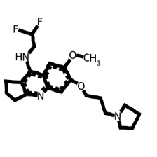 COc1cc2c(NCC(F)F)c3c(nc2cc1OCCCN1CCCC1)CCC3